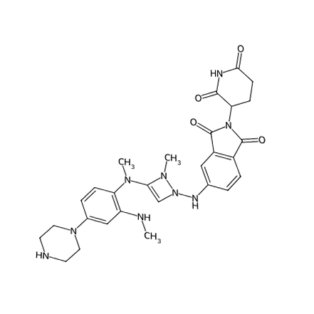 CNc1cc(N2CCNCC2)ccc1N(C)c1cn(Nc2ccc3c(c2)C(=O)N(C2CCC(=O)NC2=O)C3=O)n1C